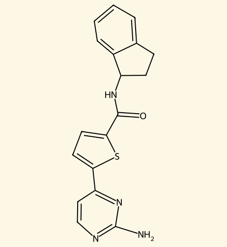 Nc1nccc(-c2ccc(C(=O)NC3CCc4ccccc43)s2)n1